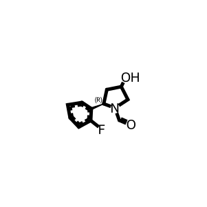 O=CN1CC(O)C[C@@H]1c1ccccc1F